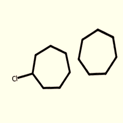 C1CCCCCC1.ClC1CCCCCC1